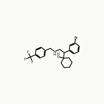 OC1(C(CNCc2ccc(C(F)(F)F)cc2)c2cccc(Br)c2)CCCCC1